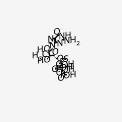 C[C@@]1(O)[C@H](O)[C@@H](CO[P@](O)(=S)OP(=O)(O)OP(=O)(O)O)O[C@H]1n1cnc2c(=O)[nH]c(N)nc21